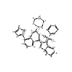 O=S(=O)(c1ccccc1)n1c(-c2cc(N3CCOCC3)nc3c(-c4ccn[nH]4)cccc23)cc2ccccc21